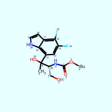 CC(C)(C)OC(=O)N[C@H](CO)C(C)(O)c1cc(F)c(F)c2cc[nH]c12